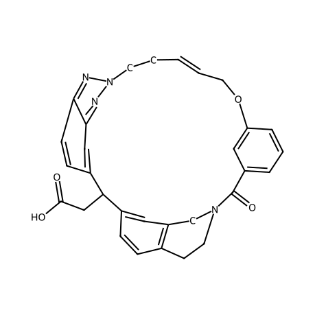 O=C(O)CC1c2ccc3c(c2)CN(CC3)C(=O)c2cccc(c2)OC/C=C/CCn2nc3ccc1cc3n2